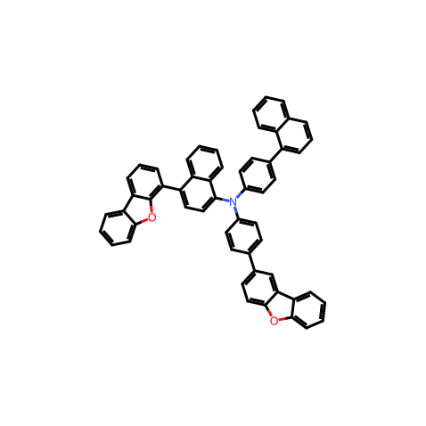 c1ccc2c(-c3ccc(N(c4ccc(-c5ccc6oc7ccccc7c6c5)cc4)c4ccc(-c5cccc6c5oc5ccccc56)c5ccccc45)cc3)cccc2c1